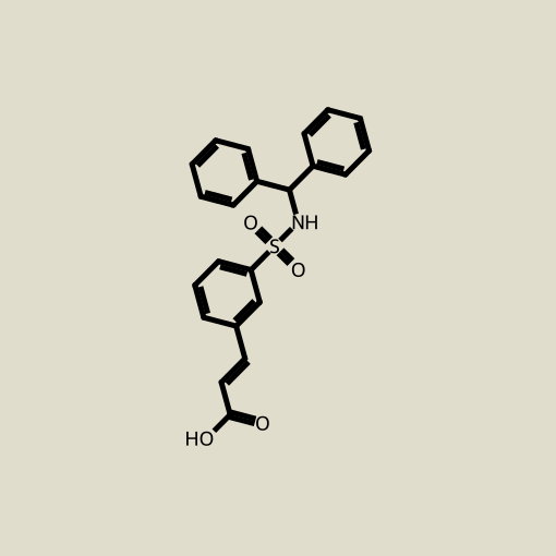 O=C(O)/C=C/c1cccc(S(=O)(=O)NC(c2ccccc2)c2ccccc2)c1